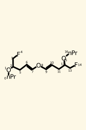 CCCOC(CF)CC=COC=CCC(CF)OCCC